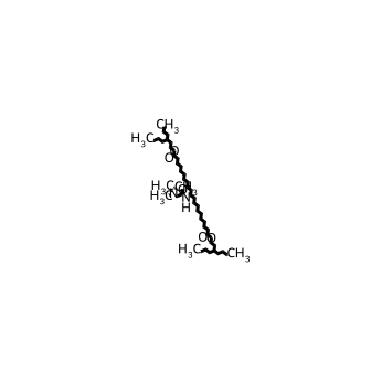 CCCCC(CCCC)CCOC(=O)CCCCCCCCCC(CCCCCCCCCC(=O)OCCC(CCCC)CCCC)NC(=O)CN(C)C(C)C